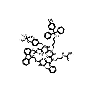 Cc1ccc(C(NCCCC[C@H](NC(=O)[C@H](CCCNC(N)=O)NC(=O)[C@H](Cc2ccccc2)NC(=O)OCC2c3ccccc3-c3ccccc32)C(=O)N[C@@H](Cc2ccc(OC(C)(C)C)cc2)C(=O)OC(C)(C)C)(c2ccccc2)c2ccccc2)cc1